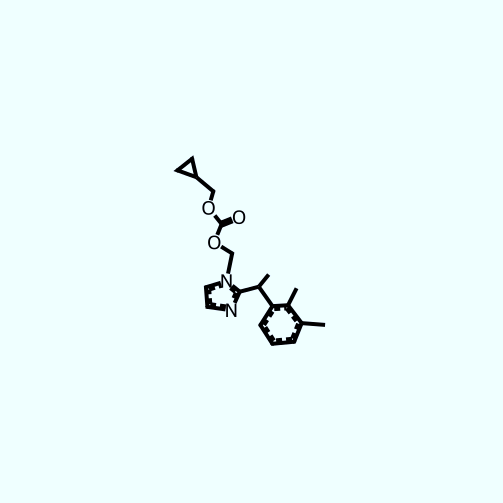 Cc1cccc(C(C)c2nccn2COC(=O)OCC2CC2)c1C